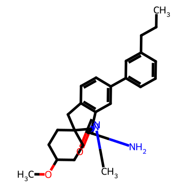 CCCc1cccc(-c2ccc3c(c2)C2(N=C(N)N(C)C2=O)C2(CCC(OC)CC2)C3)c1